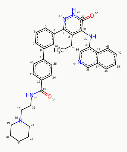 CCc1c(-c2cccc(-c3ccc(C(=O)NCCN4CCCCC4)cc3)c2)n[nH]c(=O)c1Nc1cncc2ccccc12